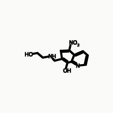 O=[N+]([O-])c1cc(CNCCO)c(O)c2ncccc12